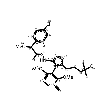 C=N/C(OC)=C(\C(=N/C)OC)n1c(CCCC(C)(C)O)nnc1NSC(C)C(OC)c1ncc(Cl)cn1